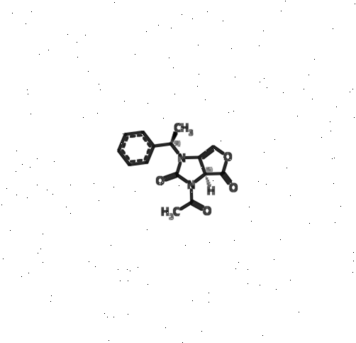 CC(=O)N1C(=O)N([C@H](C)c2ccccc2)C2=COC(=O)[C@H]21